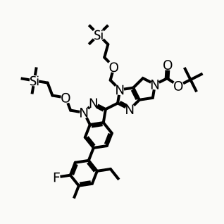 CCc1cc(C)c(F)cc1-c1ccc2c(-c3nc4c(n3COCC[Si](C)(C)C)CN(C(=O)OC(C)(C)C)C4)nn(COCC[Si](C)(C)C)c2c1